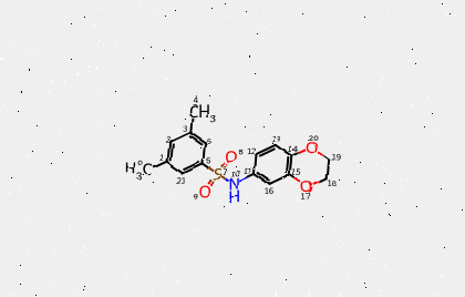 Cc1cc(C)cc(S(=O)(=O)Nc2ccc3c(c2)OCCO3)c1